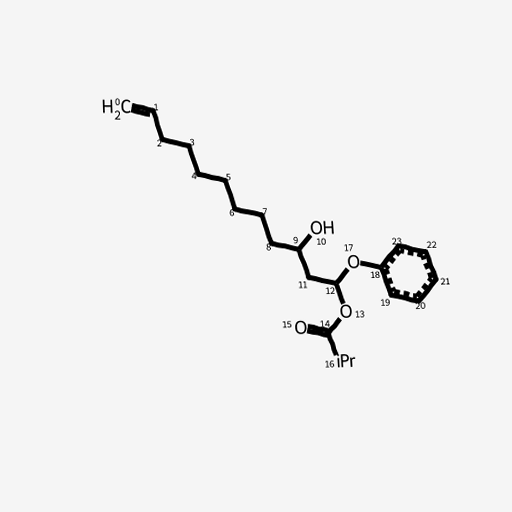 C=CCCCCCCCC(O)CC(OC(=O)C(C)C)Oc1ccccc1